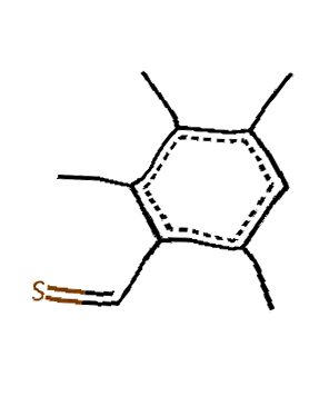 Cc1cc(C)c(C=S)c(C)c1C